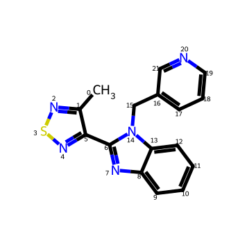 Cc1nsnc1-c1nc2ccccc2n1Cc1cccnc1